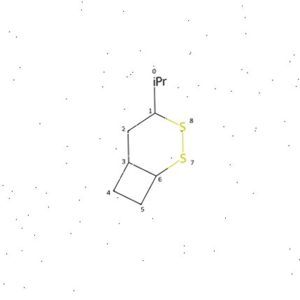 CC(C)C1CC2CCC2SS1